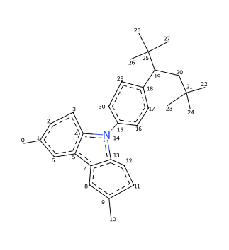 Cc1ccc2c(c1)c1cc(C)ccc1n2-c1ccc(C(CC(C)(C)C)C(C)(C)C)cc1